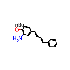 CCCCOc1ccc(/C=C/C=C/c2ccccc2)cc1N